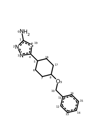 Nc1nnc(C2CCC(OCc3ccccc3)CC2)s1